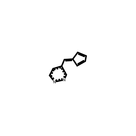 C1=CC(=Cc2ccnnc2)C=C1